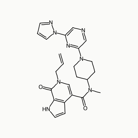 C=CCn1cc(C(=O)N(C)C2CCN(c3cncc(-n4cccn4)n3)CC2)c2cc[nH]c2c1=O